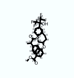 COC(=O)c1ccc(OC2CCc3cc(C(O)(C(F)(F)F)C(F)(F)F)ccc3N(C(=O)C(C)c3ccccc3)C2)cc1